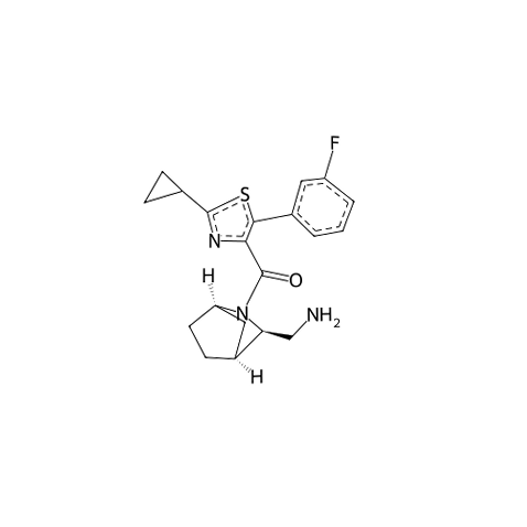 NC[C@H]1[C@H]2CC[C@H](C2)N1C(=O)c1nc(C2CC2)sc1-c1cccc(F)c1